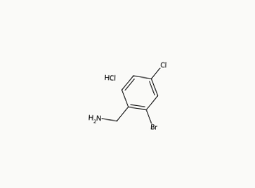 Cl.NCc1ccc(Cl)cc1Br